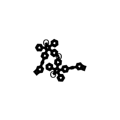 O=C1C(c2ccccc2)=C(c2ccc(C#Cc3ccc4c(c3)CC4)cc2)C(c2ccc(Oc3ccc(C4=C(c5ccccc5)C(=O)C(c5ccccc5)=C4c4ccc(C#Cc5ccc6c(c5)CC6)cc4)cc3)cc2)=C1c1ccccc1